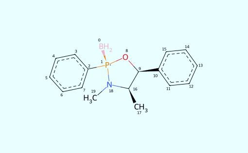 B[P@@]1(c2ccccc2)O[C@@H](c2ccccc2)[C@@H](C)N1C